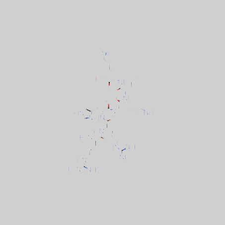 CSCC[C@H](NC(=O)[C@H](CCCCN)NC(=O)[C@H](Cc1c[nH]cn1)NC(=O)[C@H](CCCNC(=N)N)NC(=O)[C@@H](N)CCCNC(=N)N)C(=O)N[C@@H](CCCCN)C(=O)O